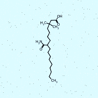 CCCCCCCCCC(CCCCC(C)(C)CC(=O)O)C(N)=O